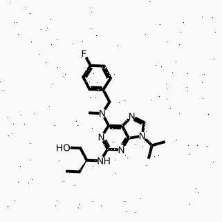 CC[C@@H](CO)Nc1nc(N(C)Cc2ccc(F)cc2)c2ncn(C(C)C)c2n1